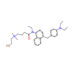 CCN(CC)c1ccc(Cc2ccc(N(CC)C(=O)CCC[N+](C)(C)CCS)c3ccccc23)cc1